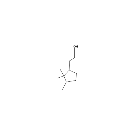 CC1CCC(CCO)C1(C)C